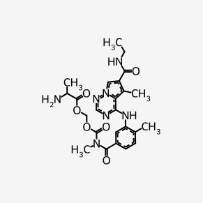 CCNC(=O)c1cn2ncnc(Nc3cc(C(=O)N(C)C(=O)OCOC(=O)C(C)N)ccc3C)c2c1C